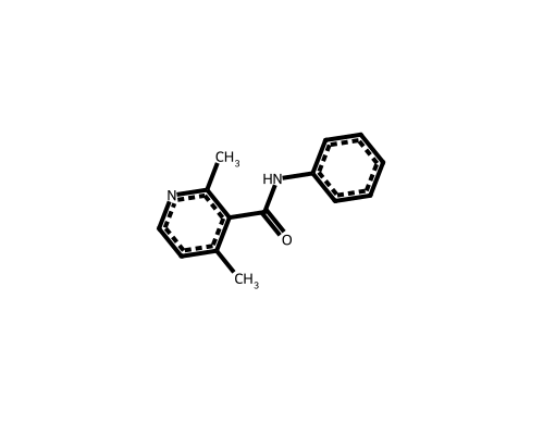 Cc1ccnc(C)c1C(=O)Nc1ccccc1